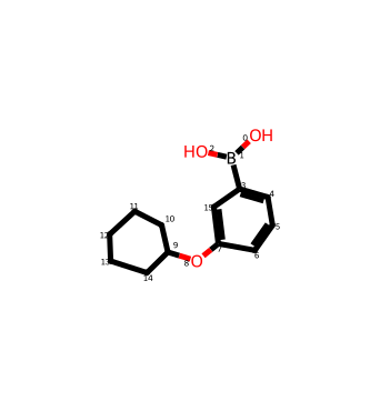 OB(O)c1cccc(OC2CCCCC2)c1